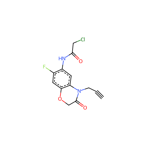 C#CCN1C(=O)COc2cc(F)c(NC(=O)CCl)cc21